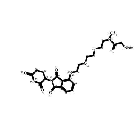 CNCC(=O)N(C)CCOCCOCCNc1cccc2c1C(=O)N(C1CCC(=O)NC1=O)C2=O